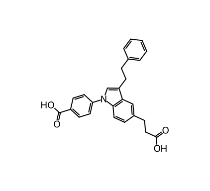 O=C(O)CCc1ccc2c(c1)c(CCc1ccccc1)cn2-c1ccc(C(=O)O)cc1